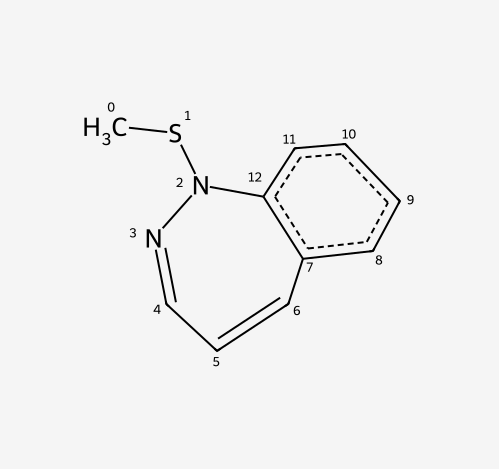 CSN1N=CC=Cc2ccccc21